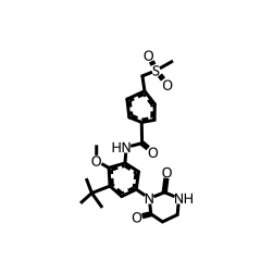 COc1c(NC(=O)c2ccc(CS(C)(=O)=O)cc2)cc(N2C(=O)CCNC2=O)cc1C(C)(C)C